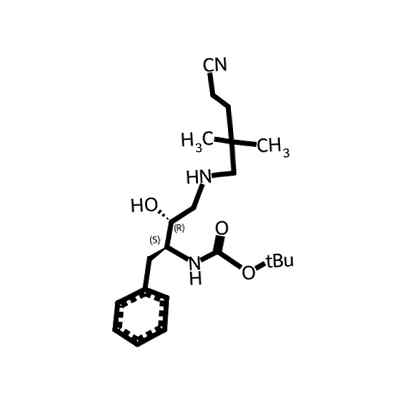 CC(C)(CCC#N)CNC[C@@H](O)[C@H](Cc1ccccc1)NC(=O)OC(C)(C)C